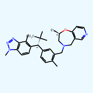 CC[C@@H]1CN(Cc2cc([C@H](c3ccc4c(nnn4C)c3C)C(C)(C)C(=O)O)ccc2C)Cc2cnccc2O1